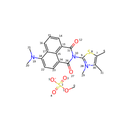 COS(=O)(=O)[O-].Cc1sc(N2C(=O)c3cccc4c(N(C)C)ccc(c34)C2=O)[n+](C)c1C